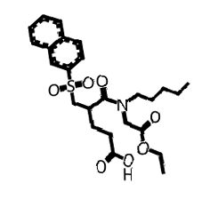 CCCCCN(CC(=O)OCC)C(=O)C(CCC(=O)O)CS(=O)(=O)c1ccc2ccccc2c1